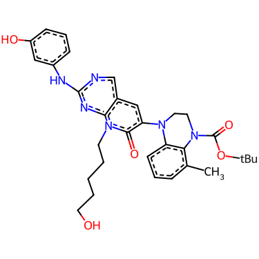 Cc1cccc2c1N(C(=O)OC(C)(C)C)CCN2c1cc2cnc(Nc3cccc(O)c3)nc2n(CCCCCO)c1=O